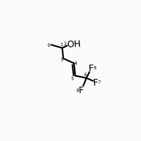 CC(O)CC=CC(F)(F)F